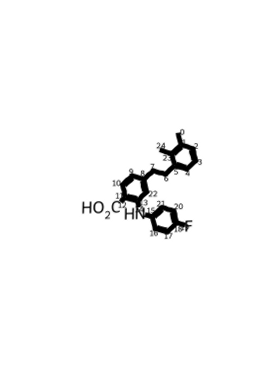 Cc1cccc(CCc2ccc(C(=O)O)c(Nc3ccc(F)cc3)c2)c1C